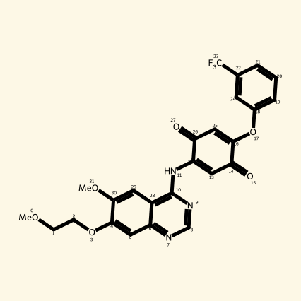 COCCOc1cc2ncnc(NC3=CC(=O)C(Oc4cccc(C(F)(F)F)c4)=CC3=O)c2cc1OC